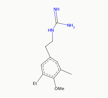 CCc1cc(CCNC(=N)N)cc(C)c1OC